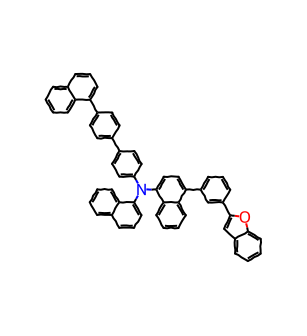 c1cc(-c2cc3ccccc3o2)cc(-c2ccc(N(c3ccc(-c4ccc(-c5cccc6ccccc56)cc4)cc3)c3cccc4ccccc34)c3ccccc23)c1